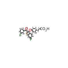 O=C(O)/C=C/c1ccc(Oc2c(C(=O)c3cccc(F)c3)sc3cc(F)ccc23)cc1